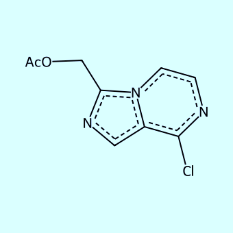 CC(=O)OCc1ncc2c(Cl)nccn12